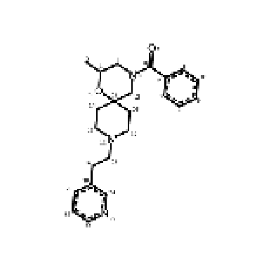 CC1CN(C(=O)c2ccccc2)CC2(CCN(CCc3cccnc3)CC2)O1